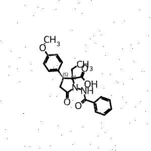 CC[C@]1(C(=O)O)[C@H](c2ccc(OC)cc2)CC(=O)N1NC(=O)c1ccccc1